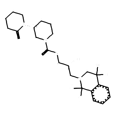 [2H]C1([2H])CN(C[C@@H](O)CNC(=O)N2CCC[C@@H](N3CCCCC3=O)C2)C([2H])([2H])c2ccccc21